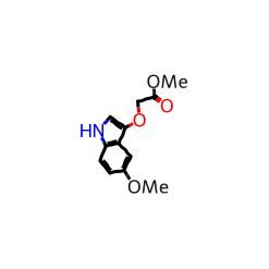 COC(=O)COc1c[nH]c2ccc(OC)cc12